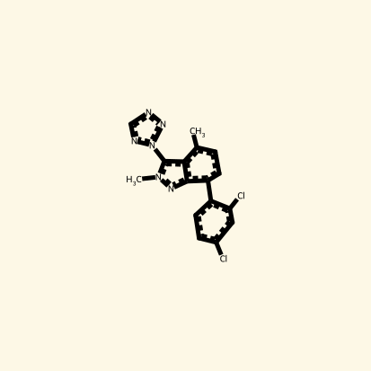 Cc1ccc(-c2ccc(Cl)cc2Cl)c2nn(C)c(-n3ncnn3)c12